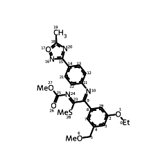 CCOc1cc(COC)cc(C(=N/c2ccc(-c3noc(C)n3)cc2)/C(=N/C(=O)OC)SC)c1